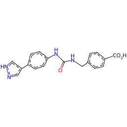 O=C(NCc1ccc(C(=O)O)cc1)Nc1ccc(-c2cn[nH]c2)cc1